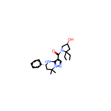 CCC1(CC)C[C@H](O)CN1C(=O)c1cnn2c1N[C@@H](c1ccccc1)CC2(C)C